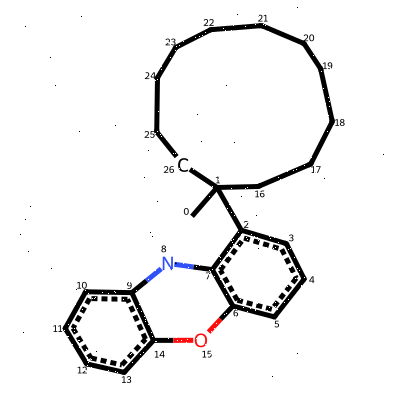 CC1(c2cccc3c2[N]c2ccccc2O3)CCCCCCCCCCC1